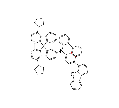 c1ccc(-c2ccccc2N(c2ccc(-c3cccc4c3oc3ccccc34)cc2)c2cccc3c2-c2ccccc2C32c3cc(C4CCCC4)ccc3-c3ccc(C4CCCC4)cc32)cc1